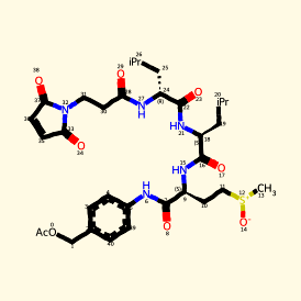 CC(=O)OCc1ccc(NC(=O)[C@H](CC[S+](C)[O-])NC(=O)[C@H](CC(C)C)NC(=O)[C@@H](CC(C)C)NC(=O)CCN2C(=O)C=CC2=O)cc1